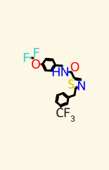 O=C(NCc1ccc(OC(F)F)cc1)c1cnc(Cc2cccc(C(F)(F)F)c2)s1